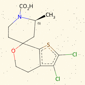 C[C@H]1CC2(CCN1C(=O)O)OCCc1c2sc(Cl)c1Cl